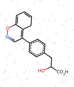 O=C(O)C(O)Cc1ccc(C2=C3CC=CC=C3ON=C2)cc1